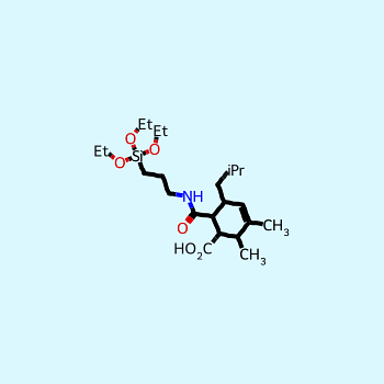 CCO[Si](CCCNC(=O)C1C(CC(C)C)C=C(C)C(C)C1C(=O)O)(OCC)OCC